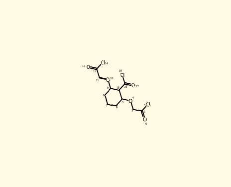 O=C(Cl)COC1CCCC(OCC(=O)Cl)C1C(=O)Cl